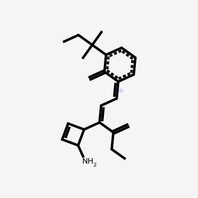 C=C(CC)C(=C/C=c1/cccc(C(C)(C)CC)c1=C)C1C=CC1N